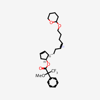 COC(C(=O)O[C@H]1CC=C[C@@H]1CC/C=C\CCCOC1CCCCO1)(c1ccccc1)C(F)(F)F